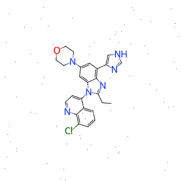 CCc1nc2c(-c3c[nH]cn3)cc(N3CCOCC3)cc2n1-c1ccnc2c(Cl)cccc12